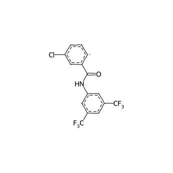 O=C(Nc1cc(C(F)(F)F)cc(C(F)(F)F)c1)c1[c]ccc(Cl)c1